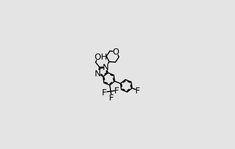 OCc1nc2cc(C(F)(F)F)c(-c3ccc(F)cc3)cc2n1C1CCOCC1